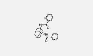 O=C(NC12CC3CC(C1)CC(NC(=O)c1ccccn1)(C3)C2)c1ccccc1